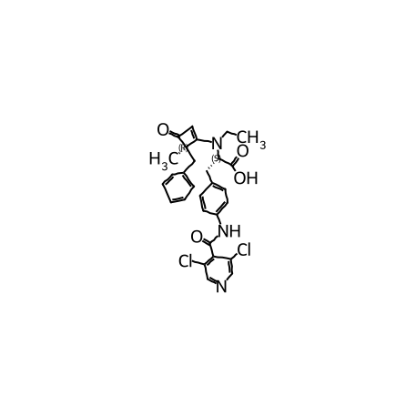 CCN(C1=CC(=O)[C@]1(C)Cc1ccccc1)[C@@H](Cc1ccc(NC(=O)c2c(Cl)cncc2Cl)cc1)C(=O)O